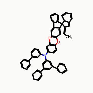 C/C=C1\CC2C=CC=CC2C12c1ccccc1-c1cc3c(cc12)Oc1ccc(N(c2cccc(-c4ccccc4)c2)c2cc(C4=CCCC=C4)cc(-c4ccccc4)c2)cc1O3